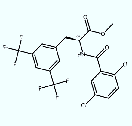 COC(=O)[C@H](Cc1cc(C(F)(F)F)cc(C(F)(F)F)c1)NC(=O)c1cc(Cl)ccc1Cl